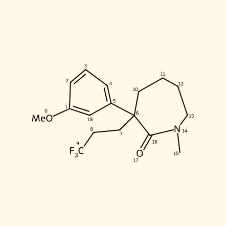 COc1cccc(C2(CCC(F)(F)F)CCCCN(C)C2=O)c1